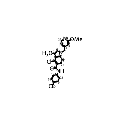 COc1cc(Cn2cc(C)c3c(Cl)c(C(=O)Nc4ccc(Cl)cc4)cnc32)ncn1